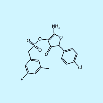 Cc1cc(F)cc(CS(=O)(=O)OC2=C(N)OC(c3ccc(Cl)cc3)C2=O)c1